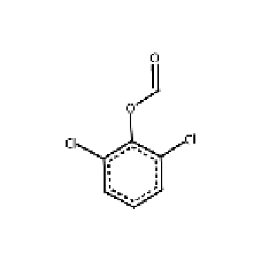 O=COc1c(Cl)cccc1Cl